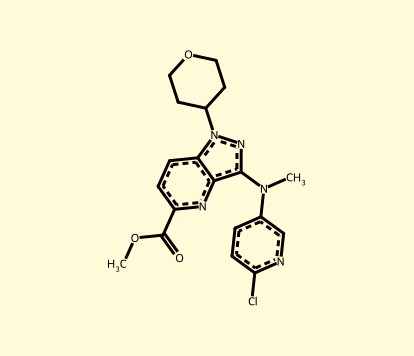 COC(=O)c1ccc2c(n1)c(N(C)c1ccc(Cl)nc1)nn2C1CCOCC1